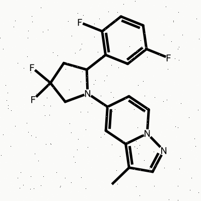 Cc1cnn2ccc(N3CC(F)(F)CC3c3cc(F)ccc3F)cc12